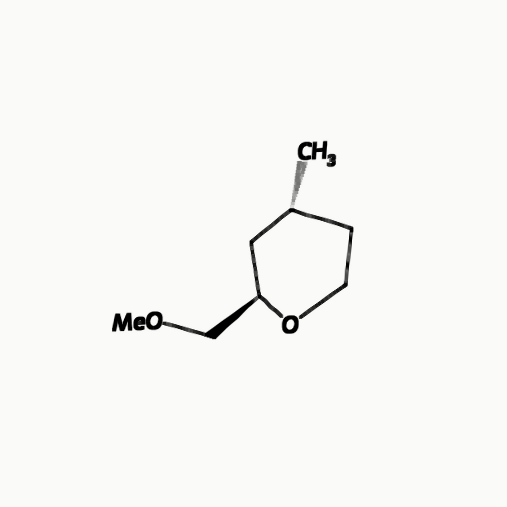 COC[C@H]1C[C@H](C)CCO1